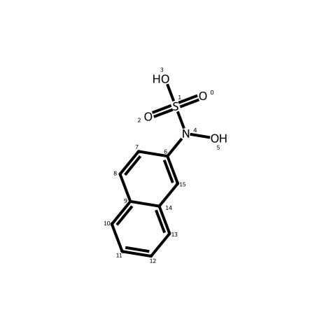 O=S(=O)(O)N(O)c1ccc2ccccc2c1